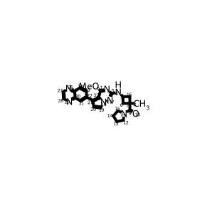 COc1nc(NC2CC(C)(C(=O)N3CCCC3)C2)nn2ccc(-c3ccc4nccnc4c3)c12